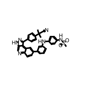 CC(C)(C#N)c1ccc(-c2n[nH]c3cnc4ccc(-c5cccc(Nc6ccc(NS(C)(=O)=O)cc6)c5)cc4c23)cc1